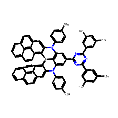 CC(C)(C)c1ccc(N2c3cc(-c4nc(-c5cc(C(C)(C)C)cc(C(C)(C)C)c5)nc(-c5cc(C(C)(C)C)cc(C(C)(C)C)c5)n4)cc4c3B(c3c2cc2ccc5cccc6ccc3c2c56)c2c(cc3ccc5cccc6ccc2c3c56)N4c2ccc(C(C)(C)C)cc2)cc1